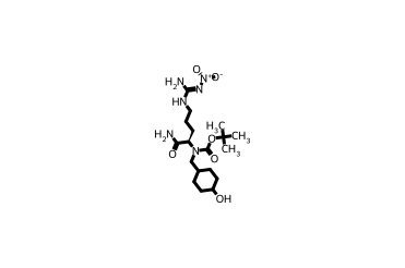 CC(C)(C)OC(=O)N(CC1CCC(O)CC1)[C@H](CCCNC(N)=N[N+](=O)[O-])C(N)=O